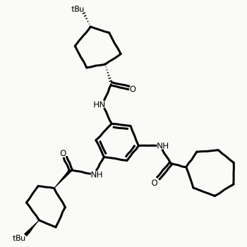 CC(C)(C)[C@H]1CC[C@@H](C(=O)Nc2cc(NC(=O)C3CCCCCC3)cc(NC(=O)[C@H]3CC[C@@H](C(C)(C)C)CC3)c2)CC1